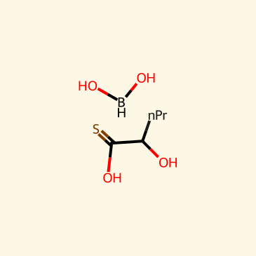 CCCC(O)C(O)=S.OBO